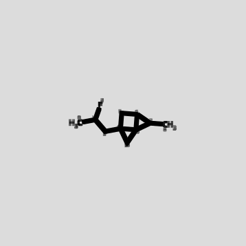 CC(F)CC12CC3C(C)C31C2